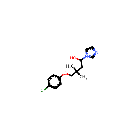 CC(C)(COc1ccc(Cl)cc1)CC(O)n1ccnc1